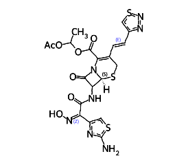 CC(=O)OC(C)OC(=O)C1=C(/C=C/c2csnn2)CS[C@H]2C(NC(=O)/C(=N\O)c3csc(N)n3)C(=O)N12